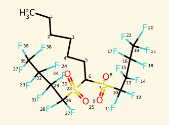 CCCCCCC(S(=O)(=O)C(F)(F)C(F)(F)C(F)(F)C(F)(F)F)S(=O)(=O)C(F)(F)C(F)(F)C(F)(F)C(F)(F)F